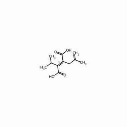 C=C(C)C/C(C(=O)O)=C(\C(=O)O)C(C)C